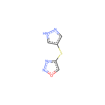 c1n[nH]cc1Sc1conn1